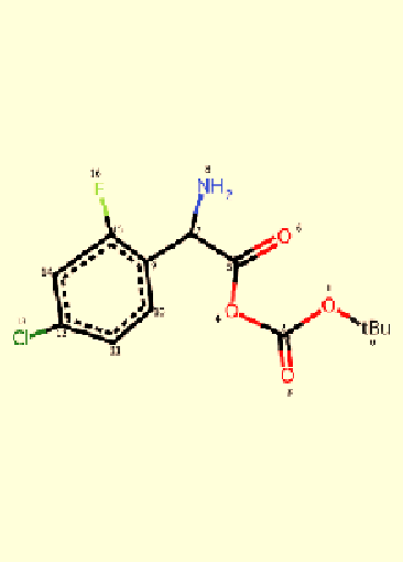 CC(C)(C)OC(=O)OC(=O)C(N)c1ccc(Cl)cc1F